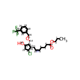 CCCOC(=O)CCC/C=C\C[C@@H]1[C@@H](COCc2cccc(C(F)(F)F)c2)[C@H](O)C[C@H]1Cl